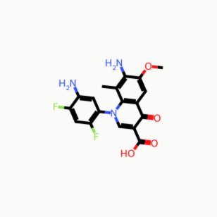 COc1cc2c(=O)c(C(=O)O)cn(-c3cc(N)c(F)cc3F)c2c(C)c1N